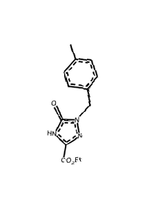 CCOC(=O)c1nn(Cc2ccc(C)cc2)c(=O)[nH]1